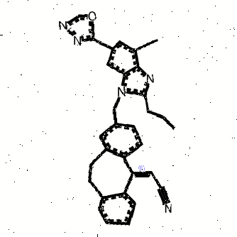 CCCc1nc2c(C)cc(-c3nnco3)cc2n1Cc1ccc2c(c1)CCc1ccccc1/C2=C\C#N